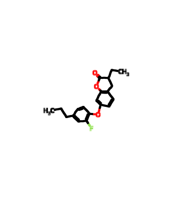 CCCc1ccc(Oc2ccc3c(c2)OC(=O)C(CC)C3)c(F)c1